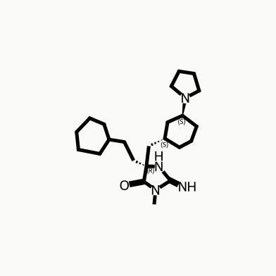 CN1C(=N)N[C@](CCC2CCCCC2)(C[C@H]2CCC[C@H](N3CCCC3)C2)C1=O